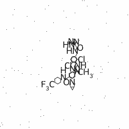 Cn1c(Nc2c(Cl)ccc(CNC(=O)c3ncn[nH]3)c2Cl)nc2cc(C(=O)NC3CCC(C(F)(F)F)CC3)c(N3CC4CC4C3)cc21